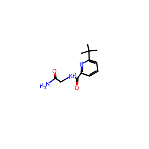 CC(C)(C)c1cccc(C(=O)NCC(N)=O)n1